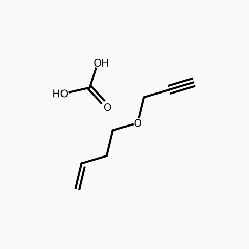 C#CCOCCC=C.O=C(O)O